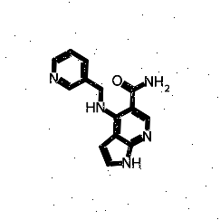 NC(=O)c1cnc2[nH]ccc2c1NCc1cccnc1